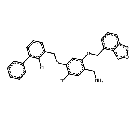 NCc1cc(Cl)c(OCc2cccc(-c3ccccc3)c2Cl)cc1OCc1cccc2nonc12